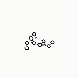 CC1(C)c2ccccc2C2(C)C=Cc3c(c4cc(-c5cccc(-c6ccccc6Nc6cccc(-c7ccccc7)c6)c5)ccc4n3-c3cccc(-c4ccccc4)c3)C12